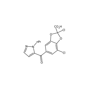 CCCn1nccc1C(=O)c1cc(Cl)c2c(c1)OC(Cl)(C(=O)O)O2